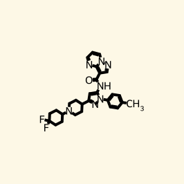 Cc1ccc(-n2nc(C3CCN(C4CCC(F)(F)CC4)CC3)cc2NC(=O)c2cnn3cccnc23)cc1